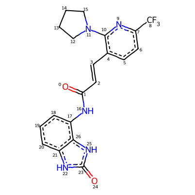 O=C(/C=C/c1ccc(C(F)(F)F)nc1N1CCCC1)Nc1cccc2[nH]c(=O)[nH]c12